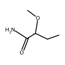 CC[C](OC)C(N)=O